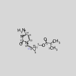 CC(C)C(=O)OC[C@@H]1C/C1=C/n1ccc(N)nc1=O